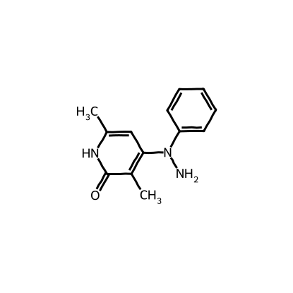 Cc1cc(N(N)c2ccccc2)c(C)c(=O)[nH]1